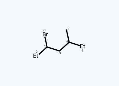 [CH2]CC(Br)CC(C)CC